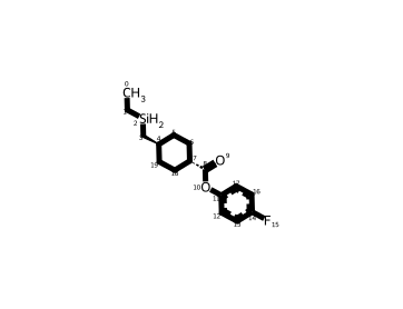 CC[SiH2]C[C@H]1CC[C@H](C(=O)Oc2ccc(F)cc2)CC1